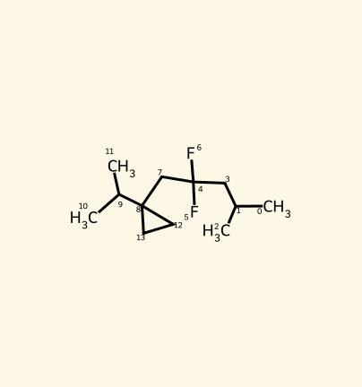 CC(C)CC(F)(F)CC1(C(C)C)CC1